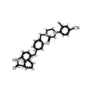 Cc1cc(C#N)ccc1N1CCN(Cc2ccc(Cc3ccc4c5c(cccc35)C(=O)N4)cc2)C(=O)C1